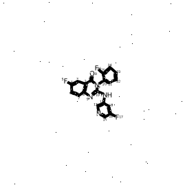 O=c1c2cc(F)ccc2nc(Nc2cncc(F)c2)n1-c1ccccc1F